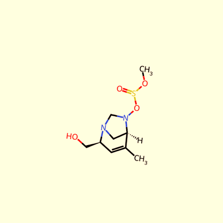 COS(=O)ON1CN2C[C@@H]1C(C)=C[C@H]2CO